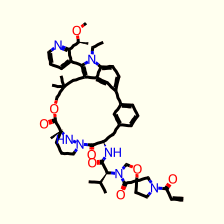 C=CC(=O)N1CCC2(C1)OCN([C@H](C(=O)N[C@H]1Cc3cccc(c3)-c3ccc4c(c3)c(c(-c3cccnc3[C@H](C)OC)n4CC)CC(C)(C)COC(=O)[C@@]3(C)CCCN(N3)C1=O)C(C)C)C2=O